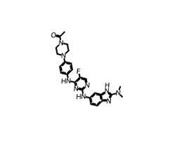 CC(=O)N1CCN(c2ccc(Nc3nc(Nc4ccc5nc(N(C)C)[nH]c5c4)ncc3F)cc2)CC1